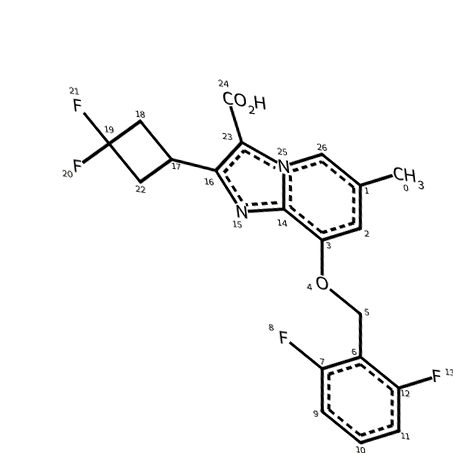 Cc1cc(OCc2c(F)cccc2F)c2nc(C3CC(F)(F)C3)c(C(=O)O)n2c1